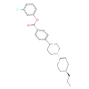 CCC[C@H]1CC[C@H](C2CCC(c3ccc(C(=O)Oc4cccc(F)c4)cc3)CC2)CC1